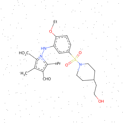 CCCc1c(C=O)c(C)c(C(=O)O)n1Nc1cc(S(=O)(=O)N2CCC(CCO)CC2)ccc1OCC